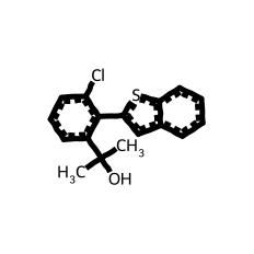 CC(C)(O)c1cccc(Cl)c1-c1cc2ccccc2s1